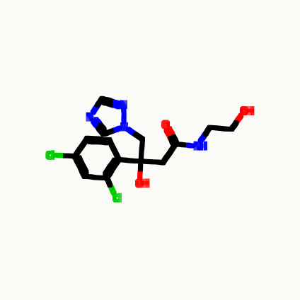 O=C(CC(O)(Cn1cncn1)c1ccc(Cl)cc1Cl)NCCO